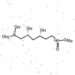 CO[PH](=O)CC[C@@H](O)C[C@@H](O)CN(O)C=O